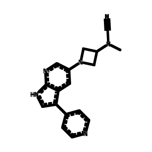 CN(C#N)C1CN(c2cnc3[nH]cc(-c4ccncc4)c3c2)C1